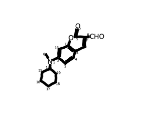 CN(c1ccc2cc(C=O)c(=O)oc2c1)C1CCCCC1